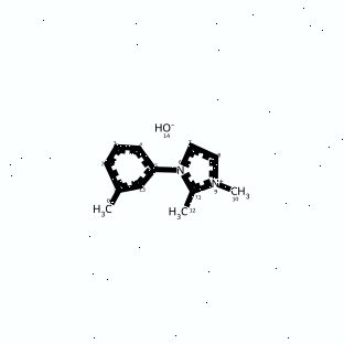 Cc1cccc(-n2cc[n+](C)c2C)c1.[OH-]